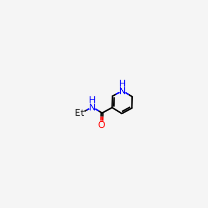 CCNC(=O)C1=CNCC=C1